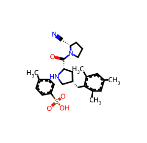 Cc1cc(C)c(C[C@@H]2CN[C@H](C(=O)N3CCC[C@H]3C#N)C2)c(C)c1.Cc1ccc(S(=O)(=O)O)cc1